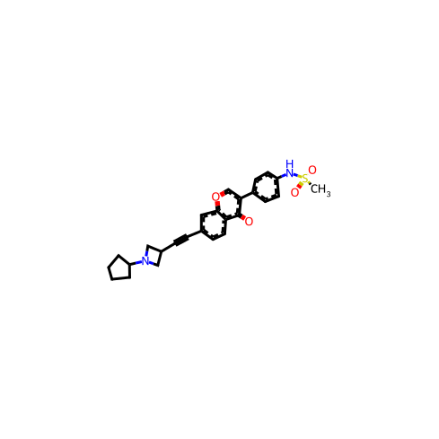 CS(=O)(=O)Nc1ccc(-c2coc3cc(C#CC4CN(C5CCCC5)C4)ccc3c2=O)cc1